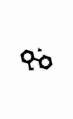 Oc1ccccc1-c1ncccn1.[Zn]